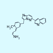 C=c1ccc(Cc2cnc3ccc(-c4cnc5ccccc5c4)nn23)c/c1=C/C=C\N